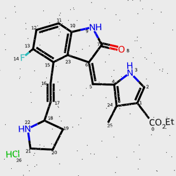 CCOC(=O)c1c[nH]c(C=C2C(=O)Nc3ccc(F)c(C#CC4CCCN4)c32)c1C.Cl